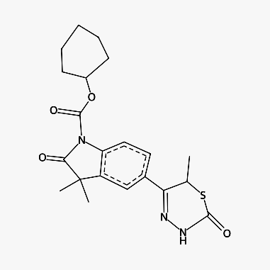 CC1SC(=O)NN=C1c1ccc2c(c1)C(C)(C)C(=O)N2C(=O)OC1CCCCC1